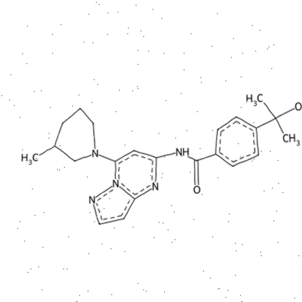 CC1CCCN(c2cc(NC(=O)c3ccc(C(C)(C)O)cc3)nc3ccnn23)C1